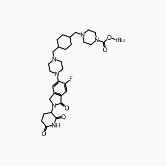 CC(C)(C)OC(=O)N1CCN(CC2CCC(CN3CCN(c4cc5c(cc4F)C(=O)N(C4CCC(=O)NC4=O)C5)CC3)CC2)CC1